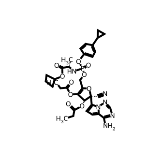 CCC(=O)OC1=C(COP(=O)(N[C@@H](C)C(=O)OC2CCC2)Oc2ccc(C3CC3)cc2)O[C@@](C#N)(c2ccc3c(N)ncnn23)[C@@H]1OC(=O)CC